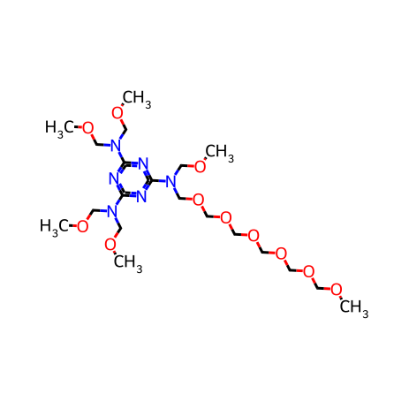 COCOCOCOCOCOCN(COC)c1nc(N(COC)COC)nc(N(COC)COC)n1